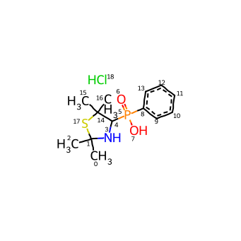 CC1(C)NC(P(=O)(O)c2ccccc2)C(C)(C)S1.Cl